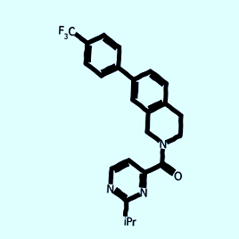 CC(C)c1nccc(C(=O)N2CCc3ccc(-c4ccc(C(F)(F)F)cc4)cc3C2)n1